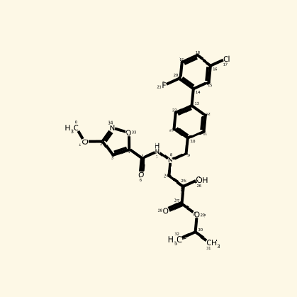 COc1cc(C(=O)NN(Cc2ccc(-c3cc(Cl)ccc3F)cc2)CC(O)C(=O)OC(C)C)on1